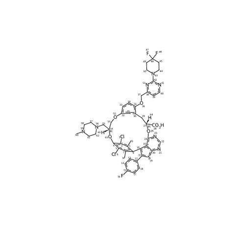 Cc1c(Cl)c2c(Cl)c(C)c1-c1c(-c3ccc(F)cc3)sc3ncnc(c13)O[C@@H](C(=O)O)Cc1cc(ccc1OCc1ccnc(N3CCC(F)(F)CC3)n1)OC[C@@H](CN1CCN(C)CC1)O2